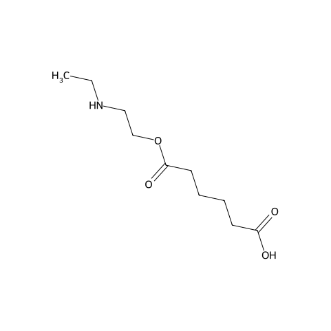 CCNCCOC(=O)CCCCC(=O)O